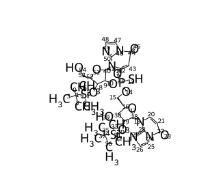 CC(C)(C)[Si](C)(C)OC1C(OP(=O)(S)OC[C@H]2O[C@@H](n3ccc(=O)n4ccnc34)C(O[Si](C)(C)C(C)(C)C)[C@@H]2O)[C@H](n2ccc(=O)n3ccnc23)O[C@@H]1CO